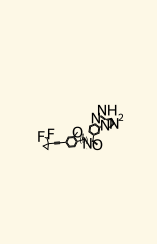 CN(C(=O)c1ccc2nc(N)c3cncn3c2c1)[C@@H]1COc2cc(C#CC3(C(F)F)CC3)ccc21